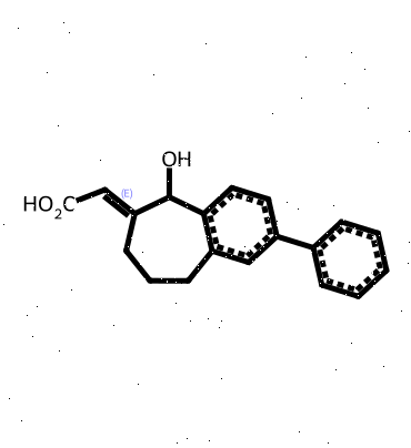 O=C(O)/C=C1\CCCc2cc(-c3ccccc3)ccc2C1O